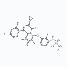 CNS(=O)(=O)Nc1cccc(Oc2c(C(=O)N(C)C3CC3)c(Nc3ccc(I)cc3F)n(C)c(=O)c2C)c1C